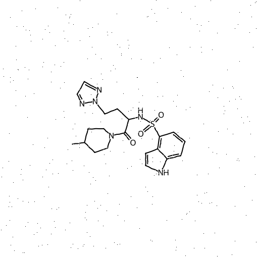 CC1CCN(C(=O)C(CCn2nccn2)NS(=O)(=O)c2cccc3[nH]ccc23)CC1